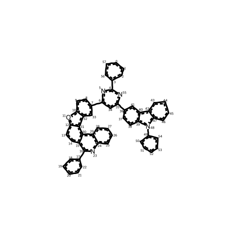 c1ccc(-c2nc(-c3ccc4oc5ccc6c(-c7ccccc7)nc7ccccc7c6c5c4c3)cc(-c3ccc4c(c3)c3ccccc3n4-c3ccccc3)n2)cc1